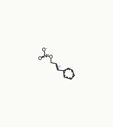 O=[N+]([O-])OC/C=C/c1ccccc1